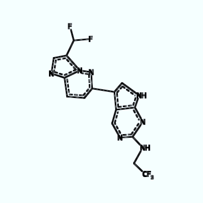 FC(F)c1cnc2ccc(-c3c[nH]c4nc(NCC(F)(F)F)ncc34)nn12